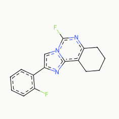 Fc1ccccc1-c1cn2c(F)nc3c(c2n1)CCCC3